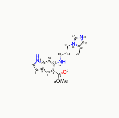 COC(=O)c1cc2cc[nH]c2cc1NCCCn1cncc1C